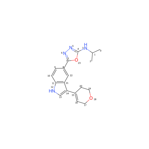 CC(C)Nc1nnc(-c2ccc3[nH]cc(C4=CCOCC4)c3c2)o1